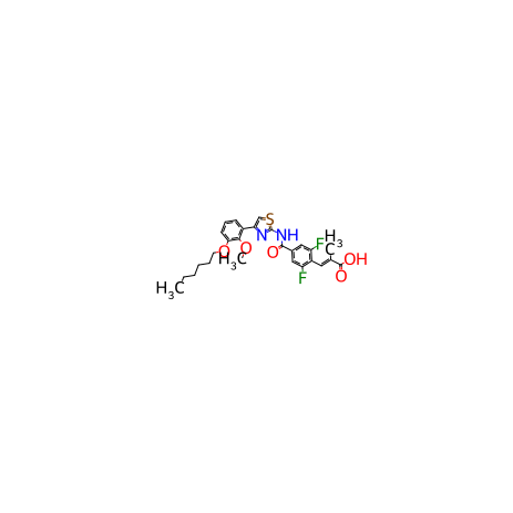 CCCCCCOc1cccc(-c2csc(NC(=O)c3cc(F)c(C=C(C)C(=O)O)c(F)c3)n2)c1OC